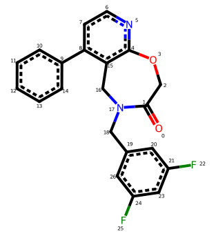 O=C1COc2nccc(-c3ccccc3)c2CN1Cc1cc(F)cc(F)c1